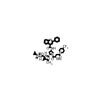 C=CC1C[C@]1(NC(=O)[C@@H]1C[C@@H](NC(=O)c2cc(-c3ccccc3)nc3ccccc23)CN1C(=O)[C@@H](CC(=O)N1CCC(C(F)(F)F)CC1)C(C)(C)C)C(=O)NS(=O)(=O)C1CC1